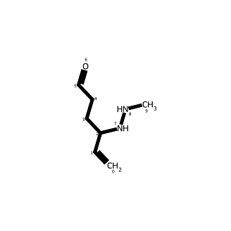 C=CC(CCC=O)NNC